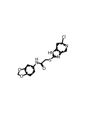 O=C(CSc1nc2cnc(Cl)cc2[nH]1)Nc1ccc2c(c1)OCO2